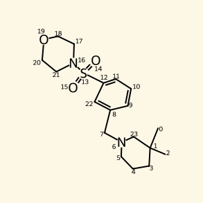 CC1(C)CCCN(Cc2cccc(S(=O)(=O)N3CCOCC3)c2)C1